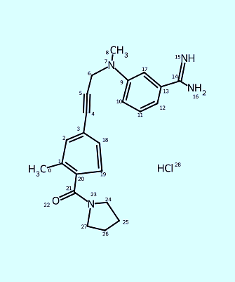 Cc1cc(C#CCN(C)c2cccc(C(=N)N)c2)ccc1C(=O)N1CCCC1.Cl